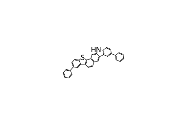 c1ccc(-c2ccc3[nH]c4cc5c(ccc6c7cc(-c8ccccc8)ccc7sc56)cc4c3c2)cc1